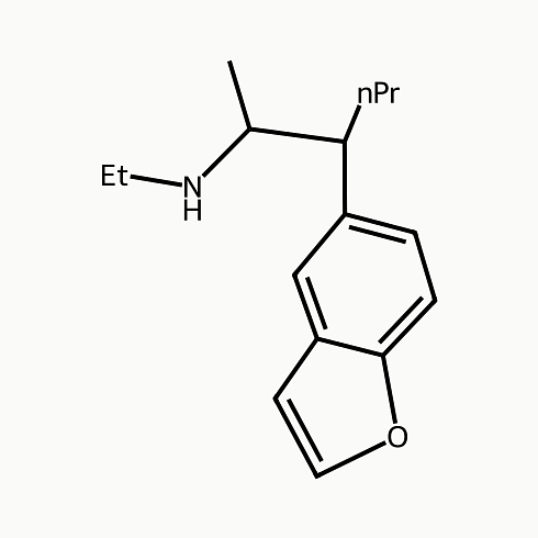 CCCC(c1ccc2occc2c1)C(C)NCC